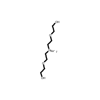 OCCOCCOCCOCCO.[I-].[Na+]